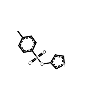 Cc1ccc(S(=O)(=O)Oc2ccsc2)cc1